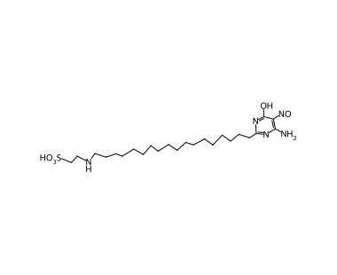 Nc1nc(CCCCCCCCCCCCCCCCCCNCCS(=O)(=O)O)nc(O)c1N=O